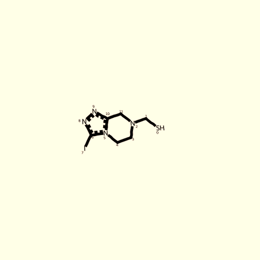 SCN1CCn2c(I)nnc2C1